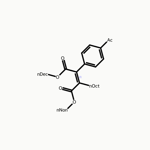 CCCCCCCCCCOC(=O)/C(=C(/CCCCCCCC)C(=O)OCCCCCCCCC)c1ccc(C(C)=O)cc1